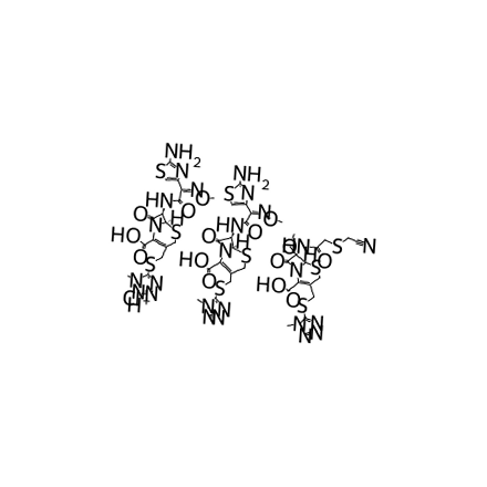 CO/N=C(\C(=O)N[C@@H]1C(=O)N2C(C(=O)O)=C(CSc3nnnn3C)CS[C@H]12)c1csc(N)n1.CO/N=C(\C(=O)N[C@@H]1C(=O)N2C(C(=O)O)=C(CSc3nnnn3C)CS[C@H]12)c1csc(N)n1.CO[C@@]1(NC(=O)CSCC#N)C(=O)N2C(C(=O)O)=C(CSc3nnnn3C)CS[C@@H]21.[Cl-].[H+]